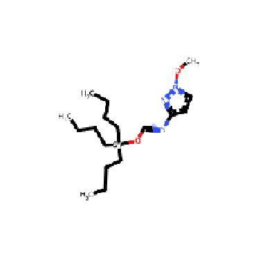 CCC[CH2][Sn]([CH2]CCC)([CH2]CCC)[O]/C=N/c1ccn(OC)n1